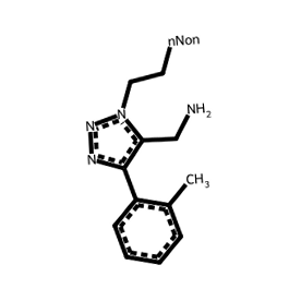 CCCCCCCCCCCn1nnc(-c2ccccc2C)c1CN